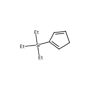 CC[Si](CC)(CC)C1=[C]CC=C1